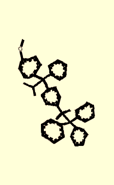 COc1ccc(C(c2ccccc2)(c2ccc(C(C)(C)C(c3ccccc3)(c3ccccc3)c3ccccc3)cc2)C(C)C)cc1